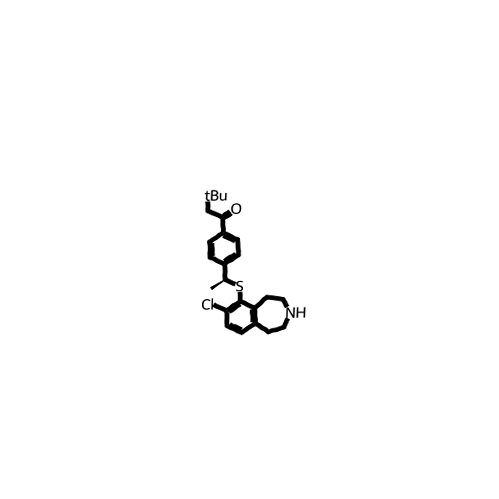 C[C@H](Sc1c(Cl)ccc2c1CCNCC2)c1ccc(C(=O)CC(C)(C)C)cc1